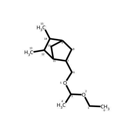 CCOC(C)OCC1CC2CC1C(C)C2C